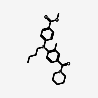 CCCCN(c1ccc(C(=O)OC)cc1)c1ccc(C(=O)N2CCCCC2)cc1C